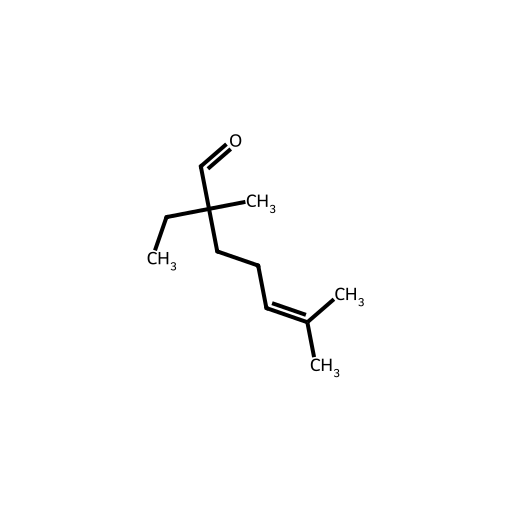 CCC(C)(C=O)CCC=C(C)C